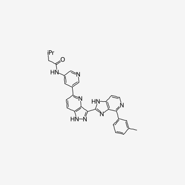 Cc1cccc(-c2nccc3[nH]c(-c4n[nH]c5ccc(-c6cncc(NC(=O)CC(C)C)c6)nc45)nc23)c1